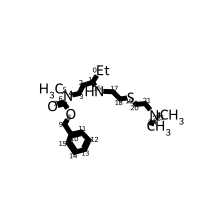 CCC(CCN(C)C(=O)OCc1ccccc1)NCCSCCN(C)C